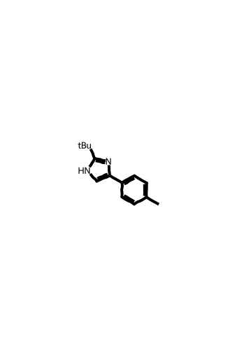 Cc1ccc(-c2c[nH]c(C(C)(C)C)n2)cc1